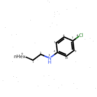 CCCCCCCCNc1ccc(Cl)cc1